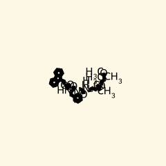 COC(C)(C)CCOC(C)(C)CCCNC(=O)CNC(=O)C(Cc1ccccc1)NC(=O)OCC1c2ccccc2-c2ccccc21